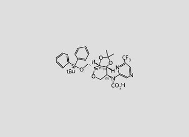 CC1(C)O[C@@H]2[C@H](O1)[C@@H](N(C(=O)O)c1cncc(C(F)(F)F)n1)CO[C@@H]2CO[Si](c1ccccc1)(c1ccccc1)C(C)(C)C